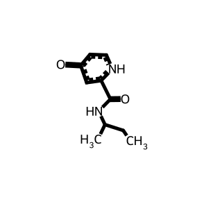 CCC(C)NC(=O)c1cc(=O)cc[nH]1